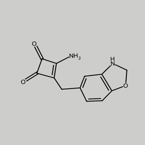 Nc1c(Cc2ccc3c(c2)NCO3)c(=O)c1=O